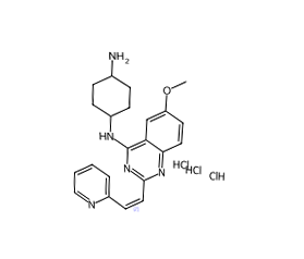 COc1ccc2nc(/C=C\c3ccccn3)nc(NC3CCC(N)CC3)c2c1.Cl.Cl.Cl